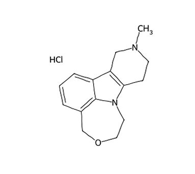 CN1CCc2c(c3cccc4c3n2CCOC4)C1.Cl